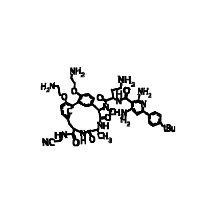 CC1NC(=O)C(N(C)C(=O)C(CCN)NC(=O)c2c(N)cc(-c3ccc(C(C)(C)C)cc3)nc2N)c2ccc(OCCN)c(c2)-c2cc(ccc2OCCN)CC(C(=O)NCC#N)NC1=O